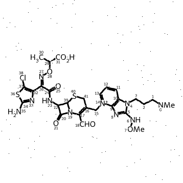 CNCCCn1c(NOC)nc2c1ccc[n+]2CC1=C(C=O)N2C(=O)C(NC(=O)/C(=N\O[C@@H](C)C(=O)O)c3nc(N)sc3Cl)C2SC1